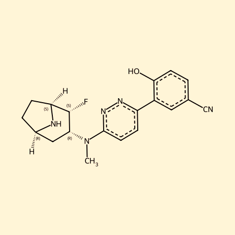 CN(c1ccc(-c2cc(C#N)ccc2O)nn1)[C@@H]1C[C@H]2CC[C@H](N2)[C@@H]1F